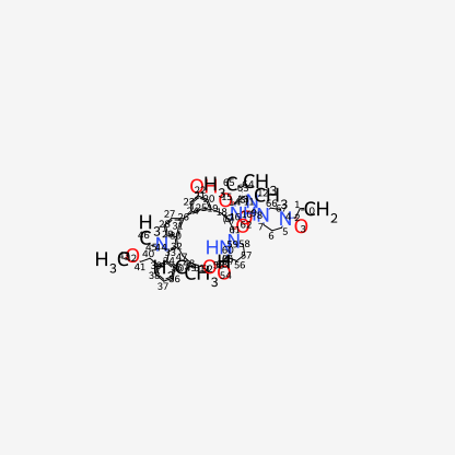 C=CC(=O)N1CCCN(C(=O)N(C)[C@H](C(=O)N[C@H]2Cc3cc(O)cc(c3)-c3ccc4c(c3)c(c(-c3ccccc3CCOC)n4CC)CC(C)(C)COC(=O)[C@@H]3CCCN(N3)C2=O)C(C)C)CC1